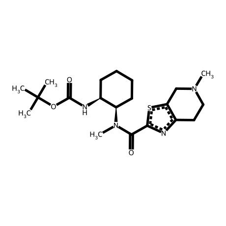 CN1CCc2nc(C(=O)N(C)[C@@H]3CCCC[C@@H]3NC(=O)OC(C)(C)C)sc2C1